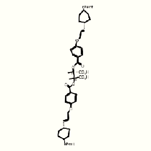 CCCCC[C@H]1CC[C@H](C=CCOc2ccc(C(=O)O[C@@](C)(C(=O)O)[C@@](C)(OC(=O)c3ccc(OCC=C[C@H]4CC[C@H](CCCCC)CC4)cc3)C(=O)O)cc2)CC1